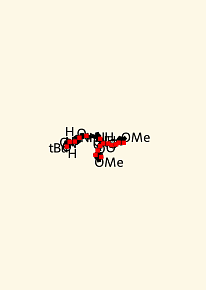 COc1ccc(COC(=O)CCC(NC(=O)NC(C)CCCCNC(=O)c2ccc(NNC(=O)OC(C)(C)C)cc2)C(=O)OCc2ccc(OC)cc2)cc1